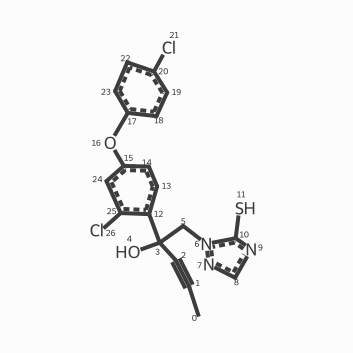 CC#CC(O)(Cn1ncnc1S)c1ccc(Oc2ccc(Cl)cc2)cc1Cl